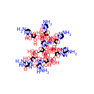 Nc1ccn([C@@H]2O[C@H](COP(=O)(O)O[C@H]3[C@@H](O)[C@H](n4ccc(N)nc4=O)O[C@@H]3COP(=O)(O)O[C@H]3[C@@H](O)[C@H](n4ccc(N)nc4=O)O[C@@H]3COP(=O)(O)O[C@H]3[C@@H](O)[C@H](n4cnc5c(N)ncnc54)O[C@@H]3COP(=O)(O)O[C@H]3[C@@H](O)[C@H](n4cnc5c(=O)[nH]c(N)nc54)O[C@@H]3COP(=O)(O)O[C@H]3[C@@H](O)[C@H](n4ccc(=O)[nH]c4=O)O[C@@H]3COP(=O)(O)O[C@H]3[C@@H](O)[C@H](n4cnc5c(=O)[nH]c(N)nc54)O[C@@H]3CO)[C@@H](O)[C@H]2O)c(=O)n1